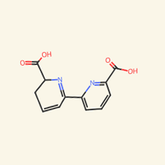 O=C(O)c1cccc(C2=NC(C(=O)O)CC=C2)n1